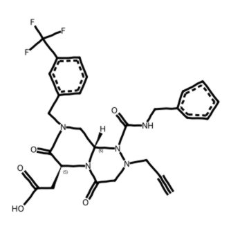 C#CCN1CC(=O)N2[C@@H](CC(=O)O)C(=O)N(Cc3cccc(C(F)(F)F)c3)C[C@@H]2N1C(=O)NCc1ccccc1